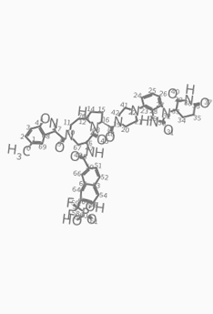 Cc1ccc2onc(C(=O)N3CC[C@H]4CC[C@@H](C(=O)N5CCN(c6cccc7c6[nH]c(=O)n7C6CCC(=O)NC6=O)CC5)N4C(=O)[C@@H](NC(=O)c4ccc5ccc(C(F)(F)P(=O)(O)O)cc5c4)C3)c2c1